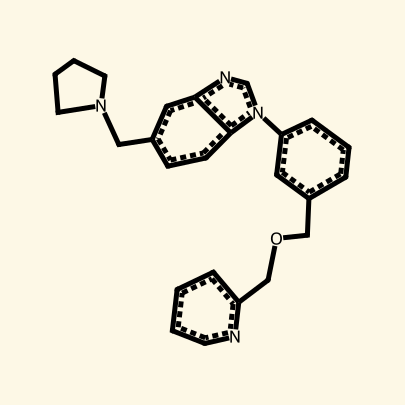 c1ccc(COCc2cccc(-n3cnc4cc(CN5CCCC5)ccc43)c2)nc1